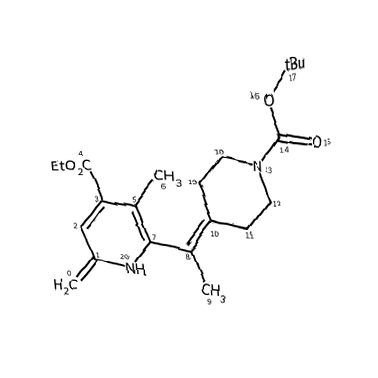 C=C1C=C(C(=O)OCC)C(C)=C(C(C)=C2CCN(C(=O)OC(C)(C)C)CC2)N1